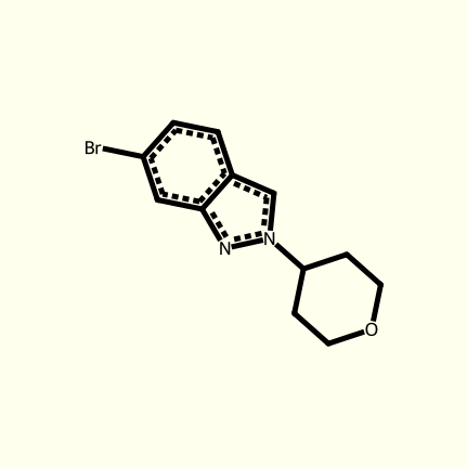 Brc1ccc2cn(C3CCOCC3)nc2c1